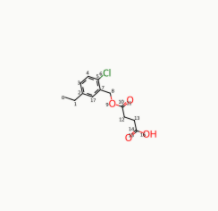 CCc1ccc(Cl)c(COC(=O)CCC(=O)O)c1